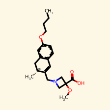 CCCCOc1ccc2c(c1)C[C@@H](C)C(CN1CC(OC)(C(=O)O)C1)=C2